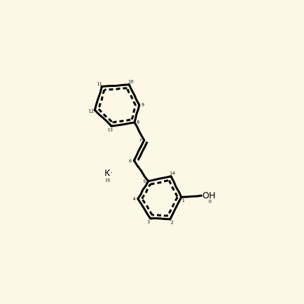 Oc1cccc(C=Cc2ccccc2)c1.[K]